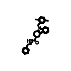 Cc1ccc(C)c(Cn2c3c(c4ccccc42)CC(C(=O)NCCc2ccccc2)CC3)c1